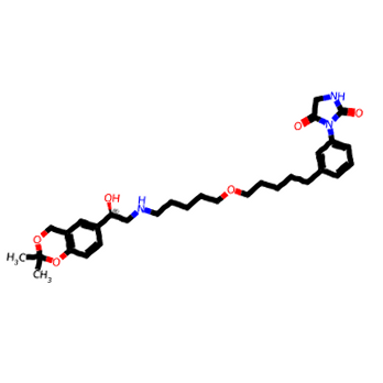 CC1(C)OCc2cc([C@@H](O)CNCCCCCOCCCCCc3cccc(N4C(=O)CNC4=O)c3)ccc2O1